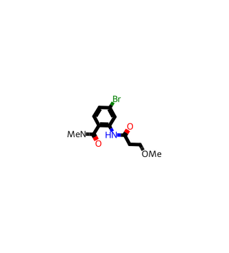 CNC(=O)c1ccc(Br)cc1NC(=O)CCOC